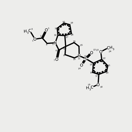 COC(=O)CN1C(=O)C2(CCN(S(=O)(=O)c3cc(OC)ccc3OC)CC2)c2ccccc21